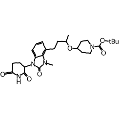 CC(CCc1cccc2c1n(C)c(=O)n2C1CCC(=O)NC1=O)OC1CCN(C(=O)OC(C)(C)C)CC1